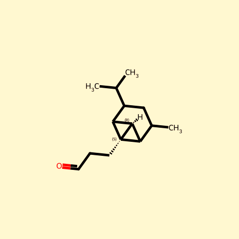 CC(C)C1CC(C)C2[C@@H]3C1[C@]23CCC=O